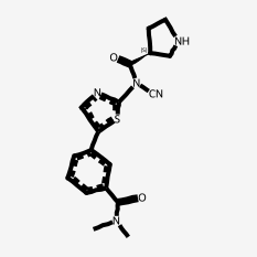 CN(C)C(=O)c1cccc(-c2cnc(N(C#N)C(=O)[C@H]3CCNC3)s2)c1